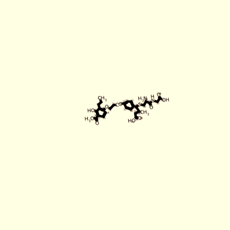 CCCc1c(OCCCSc2ccc(C(SC[C@H](N)C(=O)NCC(=O)O)C(C)CC(=O)O)cc2)ccc(C(C)=O)c1O